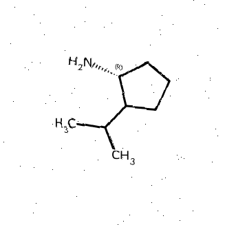 CC(C)C1CCC[C@H]1N